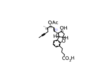 CC#CC[C@H](C)[C@@H](/C=C/[C@@H]1[C@H]2c3cccc(CCCC(=O)O)c3O[C@H]2C[C@H]1O)OC(C)=O